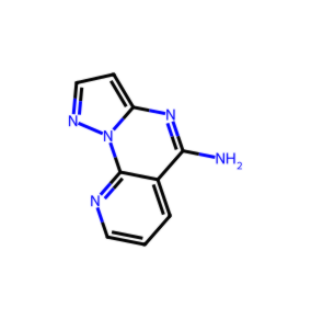 Nc1nc2ccnn2c2ncccc12